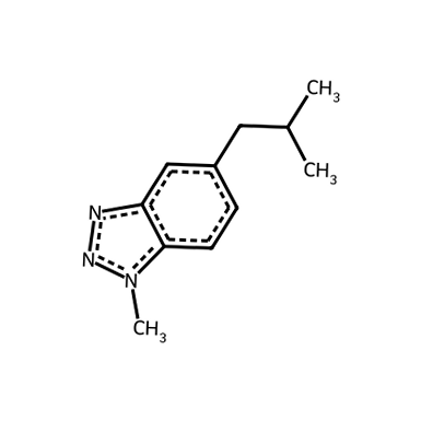 CC(C)Cc1ccc2c(c1)nnn2C